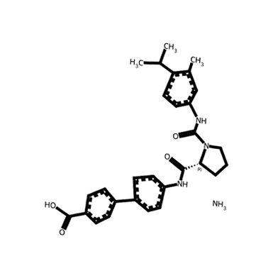 Cc1cc(NC(=O)N2CCC[C@@H]2C(=O)Nc2ccc(-c3ccc(C(=O)O)cc3)cc2)ccc1C(C)C.N